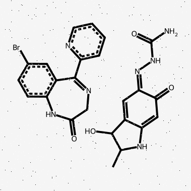 CC1NC2=CC(=O)C(=NNC(N)=O)C=C2C1O.O=C1CN=C(c2ccccn2)c2cc(Br)ccc2N1